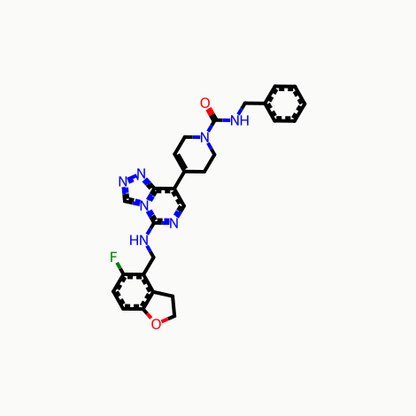 O=C(NCc1ccccc1)N1CC=C(c2cnc(NCc3c(F)ccc4c3CCO4)n3cnnc23)CC1